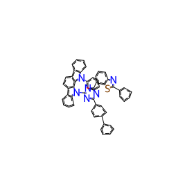 c1ccc(-c2ccc(-c3nc(-c4cccc5nc(-c6ccccc6)sc45)nc(-n4c5ccccc5c5ccc6c7ccccc7n(-c7ccccc7)c6c54)n3)cc2)cc1